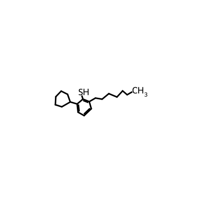 CCCCCCCc1cccc(C2CCCCC2)c1S